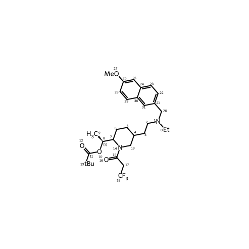 CCN(CCC1CCC([C@H](C)OC(=O)C(C)(C)C)N(C(=O)CC(F)(F)F)C1)Cc1ccc2cc(OC)ccc2c1